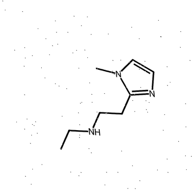 CCNCCc1nccn1C